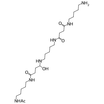 CC(=O)NCCCCCNC(=O)CCC(O)NCCCCCNC(=O)CCC(=O)NCCCCCN